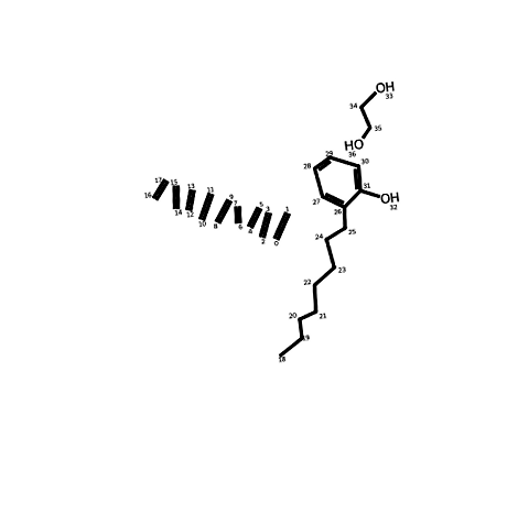 C=C.C=C.C=C.C=C.C=C.C=C.C=C.C=C.C=C.CCCCCCCCc1ccccc1O.OCCO